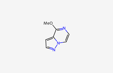 COc1nccn2nccc12